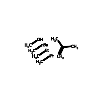 C=C(C)C.CC(C)C.CCC.CCCCC.CO